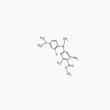 CCN(c1nc(C)c(C(=O)OC)c(N)n1)c1ccc(C(C)C)cc1Br